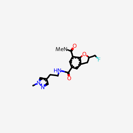 CNC(=O)c1cc(C(=O)NCCc2cnn(C)c2)cc2c1OC(CF)C2